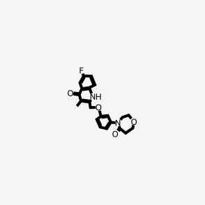 Cc1c(COc2cccc(N3CCOCCC3=O)c2)[nH]c2ccc(F)cc2c1=O